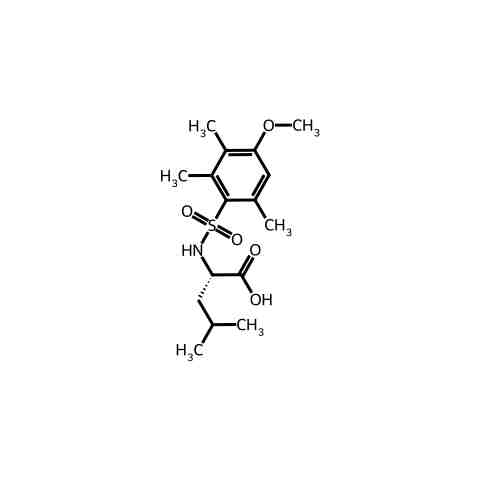 COc1cc(C)c(S(=O)(=O)N[C@@H](CC(C)C)C(=O)O)c(C)c1C